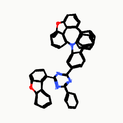 c1ccc(-c2nc(-c3ccc4c5ccccc5n(-c5cccc6oc7cccc(-c8ccccc8)c7c56)c4c3)nc(-c3cccc4oc5ccccc5c34)n2)cc1